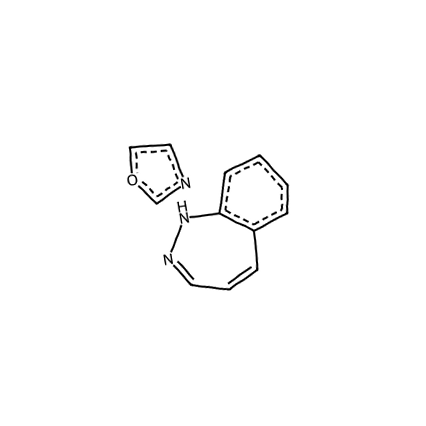 C1=Cc2ccccc2NN=C1.c1cocn1